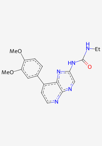 CCNC(=O)Nc1cnc2nccc(-c3ccc(OC)c(OC)c3)c2n1